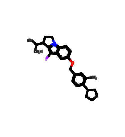 CC(C)(C)C(C(=O)O)C1CCn2c1c(I)c1cc(OCc3ccc(C4CCCC4)c(C(F)(F)F)c3)ccc12